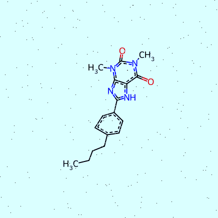 CCCCc1ccc(-c2nc3c([nH]2)c(=O)n(C)c(=O)n3C)cc1